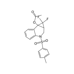 CC(=O)OC12c3ccccc3N(S(=O)(=O)c3ccc(C)cc3)CC1C2(F)F